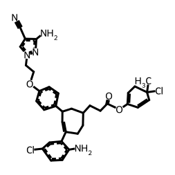 CC1(Cl)C=CC(OC(=O)CCC2CCC(c3cc(Cl)ccc3N)=CC(c3ccc(OCCn4cc(C#N)c(N)n4)cc3)C2)=CC1